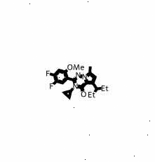 CCC(CC)c1cc(C)n2nc(-c3cc(F)c(F)cc3OC)n(C3CC3)c(=O)c12